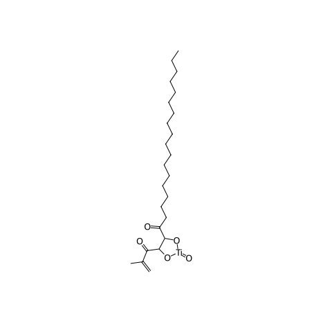 C=C(C)C(=O)C1[O][Ti](=[O])[O]C1C(=O)CCCCCCCCCCCCCCCCC